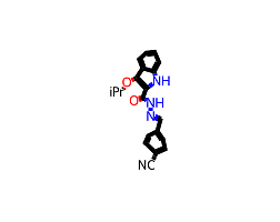 CC(C)Oc1c(C(=O)NN=Cc2ccc(C#N)cc2)[nH]c2ccccc12